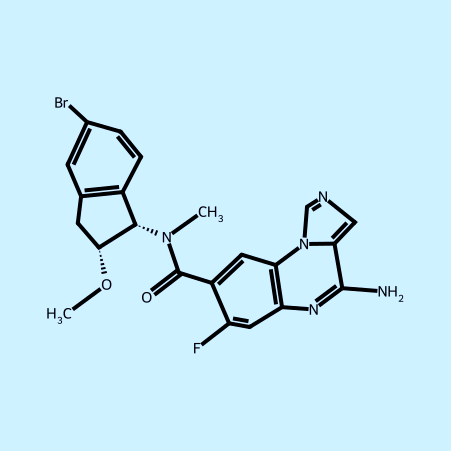 CO[C@@H]1Cc2cc(Br)ccc2[C@@H]1N(C)C(=O)c1cc2c(cc1F)nc(N)c1cncn12